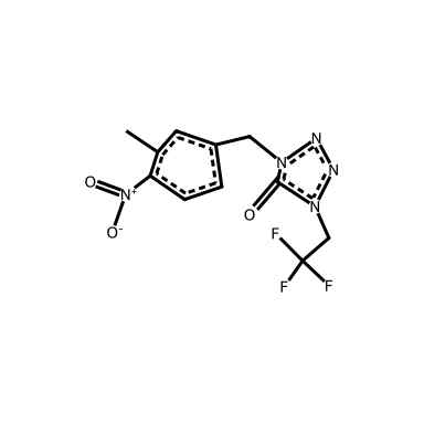 Cc1cc(Cn2nnn(CC(F)(F)F)c2=O)ccc1[N+](=O)[O-]